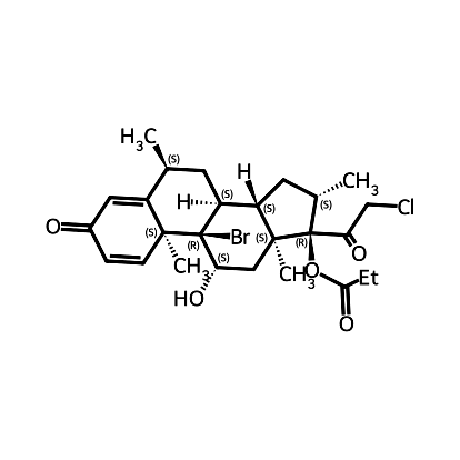 CCC(=O)O[C@]1(C(=O)CCl)[C@@H](C)C[C@H]2[C@@H]3C[C@H](C)C4=CC(=O)C=C[C@]4(C)[C@@]3(Br)[C@@H](O)C[C@@]21C